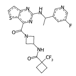 CC(Nc1nc(C(=O)N2CC(NC(=O)C3(C(F)(F)F)CCC3)C2)c2sccc2n1)c1cncc(F)c1